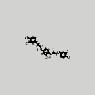 O=C(COc1ccc(Cl)c(F)c1)NC12CCC(NCCOc3ccc(Cl)c(Cl)c3)(CC1)CC2O